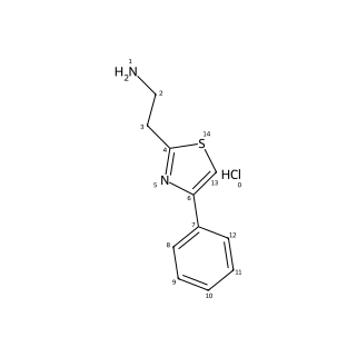 Cl.NCCc1nc(-c2ccccc2)cs1